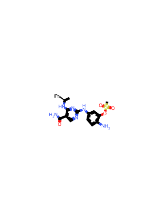 CC(C)[C@@H](C)Nc1nc(Nc2ccc(N)c(OS(C)(=O)=O)c2)ncc1C(N)=O